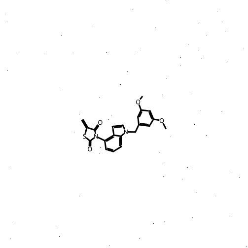 C=C1SC(=O)N(c2cccc3c2ccn3Cc2cc(OC)cc(OC)c2)C1=O